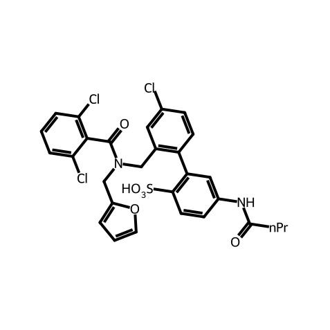 CCCC(=O)Nc1ccc(S(=O)(=O)O)c(-c2ccc(Cl)cc2CN(Cc2ccco2)C(=O)c2c(Cl)cccc2Cl)c1